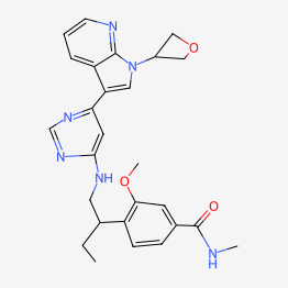 CCC(CNc1cc(-c2cn(C3COC3)c3ncccc23)ncn1)c1ccc(C(=O)NC)cc1OC